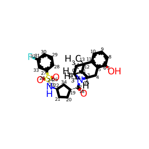 CC1(C)[C@H]2Cc3c(O)cccc3[C@]1(C)CCN2C(=O)[C@@H]1CC[C@@H](NS(=O)(=O)c2cccc(F)c2)C1